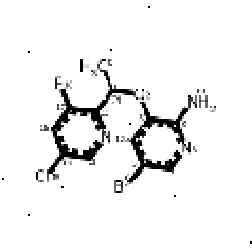 C[C@@H](Oc1cc(Br)cnc1N)c1ncc(Cl)cc1F